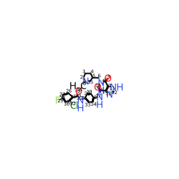 CN1CCCC(CNC(=O)c2[nH]cnc2C(=O)Nc2ccc(NC(=O)c3ccc(F)cc3Cl)cc2)C1